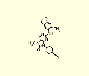 Cc1cc2c(cc1Nc1ncc3c(n1)n(C1CCC(C#N)CC1)c(=O)n3C)CCO2